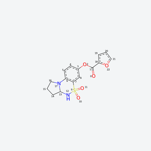 O=C(Oc1ccc2c(c1)S(=O)(=O)NC1CCCN21)c1ccco1